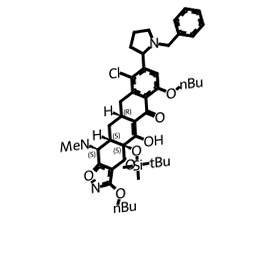 CCCCOc1cc(C2CCCN2Cc2ccccc2)c(Cl)c2c1C(=O)C1=C(O)[C@]3(O[Si](C)(C)C(C)(C)C)C(=O)c4c(OCCCC)noc4[C@@H](NC)[C@@H]3C[C@@H]1C2